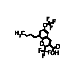 CCCCc1cc(OC(F)(F)F)cc2c1OC(C(F)(F)F)C(C(=O)O)=C2